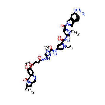 C=C1CC2C=Nc3cc(OCCCC(=O)Nc4cn(C)c(C(=O)Nc5cc(C(=O)Nc6cc(C(=O)N7Cc8ccc(N)cc8C7)n(C)c6)n(C)c5)n4)c(OC)cc3C(=O)N2C1